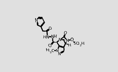 Cn1ncc2c1[C@@H](C(=O)NNC(=O)Cc1cccnc1)N1C[C@@H]2N(OS(=O)(=O)O)C1=O